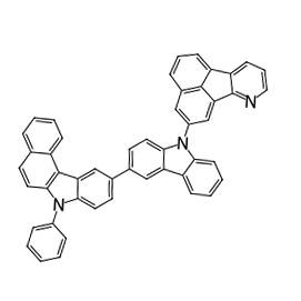 c1ccc(-n2c3ccc(-c4ccc5c(c4)c4ccccc4n5-c4cc5c6c(cccc6c4)-c4cccnc4-5)cc3c3c4ccccc4ccc32)cc1